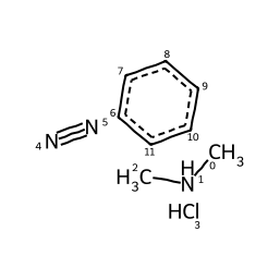 CNC.Cl.N#N.c1ccccc1